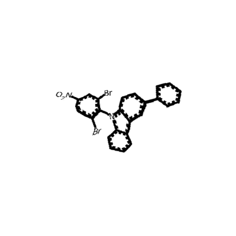 O=[N+]([O-])c1cc(Br)c(-n2c3ccccc3c3cc(-c4ccccc4)ccc32)c(Br)c1